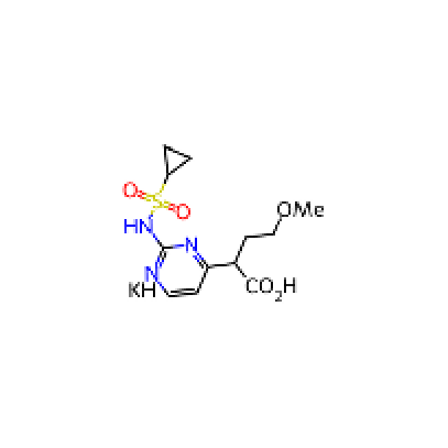 COCCC(C(=O)O)c1ccnc(NS(=O)(=O)C2CC2)n1.[KH]